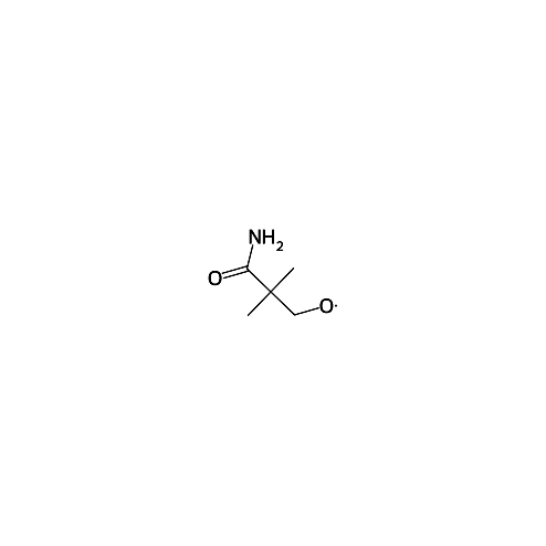 CC(C)(C[O])C(N)=O